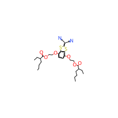 CCCCC(CC)C(=O)OCCOc1ccc(OCCOC(=O)C(CC)CCCC)c2c1SC(=C(C#N)C#N)S2